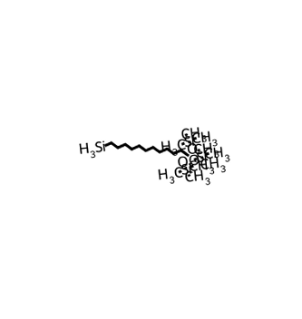 C[Si](C)(C)OC(CCCCCCCCCCC[SiH3])(O[Si](C)(C)C)O[Si](C)(C)C